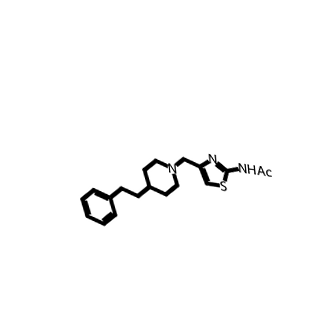 CC(=O)Nc1nc(CN2CCC(CCc3ccccc3)CC2)cs1